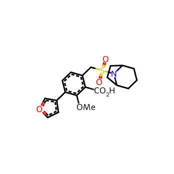 COc1c(-c2ccoc2)ccc(CS(=O)(=O)N2C3CCCC2CC3)c1C(=O)O